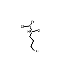 CCN(CC)[SiH](Cl)CCCC(C)(C)C